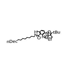 CCCCCCCCCCCCCCCCCCNC(=O)c1c(C)ccc(-n2oc(C(C)(C)C)c(CCl)c2=O)c1[N+](=O)[O-]